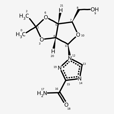 CC1(C)O[C@@H]2[C@H](O1)[C@@H](CO)O[C@H]2n1cnc(C(N)=O)n1